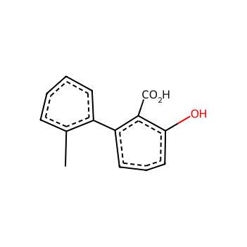 Cc1ccccc1-c1cccc(O)c1C(=O)O